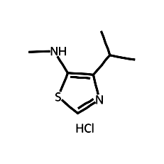 CNc1scnc1C(C)C.Cl